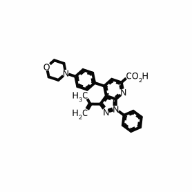 C=C(C)c1nn(-c2ccccc2)c2nc(C(=O)O)cc(-c3ccc(N4CCOCC4)cc3)c12